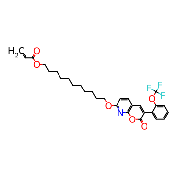 C=CC(=O)OCCCCCCCCCCCOc1ccc2cc(-c3ccccc3OC(F)(F)F)c(=O)oc2n1